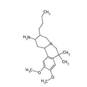 CCCCC1CN2CC(C)(C)c3cc(OC)c(OC)cc3C2CC1N